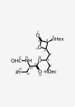 CCCCCCCCCCC[C@H](CC1OC(=O)[C@H]1CCCCCC)OC(=O)[C@@H](CC(C)C)NC=O